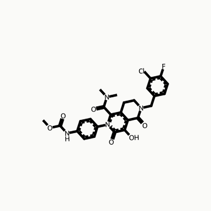 COC(=O)Nc1ccc(-n2c(C(=O)N(C)C)c3c(c(O)c2=O)C(=O)N(Cc2ccc(F)c(Cl)c2)CC3)cc1